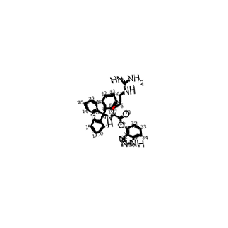 N=C(N)NCCC[C@H](NC(c1ccccc1)(c1ccccc1)c1ccccc1)C(=O)Oc1cccc2[nH]nnc12